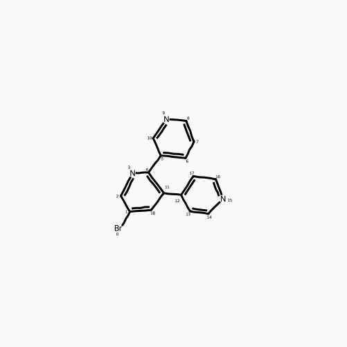 Brc1cnc(-c2cccnc2)c(-c2ccncc2)c1